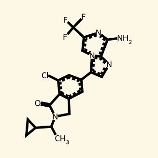 CC(C1CC1)N1Cc2cc(-c3cnc4c(N)nc(C(F)(F)F)cn34)cc(Cl)c2C1=O